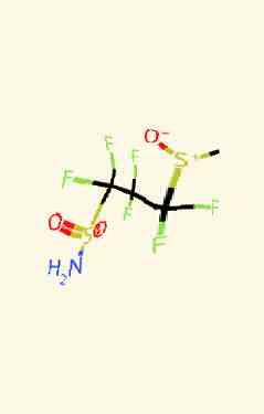 C[S+]([O-])C(F)(F)C(F)(F)C(F)(F)S(N)(=O)=O